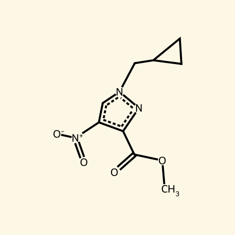 COC(=O)c1nn(CC2CC2)cc1[N+](=O)[O-]